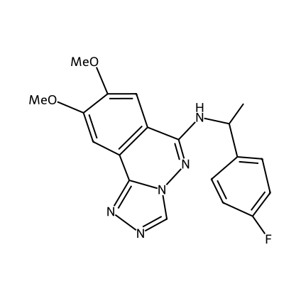 COc1cc2c(NC(C)c3ccc(F)cc3)nn3cnnc3c2cc1OC